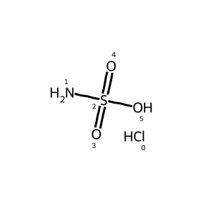 Cl.NS(=O)(=O)O